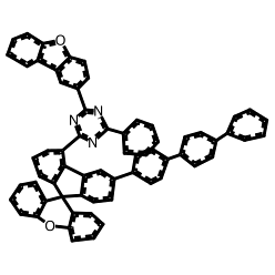 c1ccc(-c2ccc(-c3ccc(-c4ccc5c(c4)-c4c(-c6nc(-c7ccccc7)nc(-c7ccc8oc9ccccc9c8c7)n6)cccc4C54c5ccccc5Oc5ccccc54)cc3)cc2)cc1